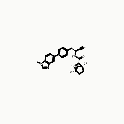 Cn1cnc2cc(-c3ccc(C[C@@H](C#N)NC(=O)[C@H]4N[C@@H]5CC[C@H]4C5)cc3)ccc21